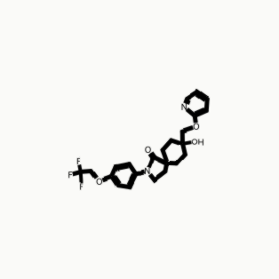 O=C1N(c2ccc(OCC(F)(F)F)cc2)CCC12CCC(O)(COc1ccccn1)CC2